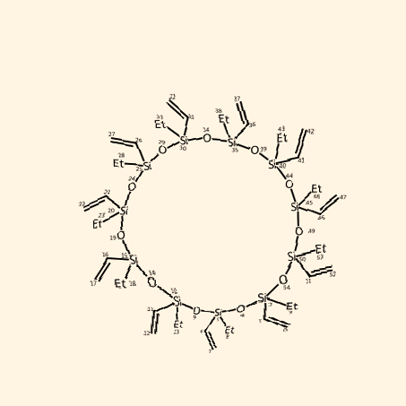 C=C[Si]1(CC)O[Si](C=C)(CC)O[Si](C=C)(CC)O[Si](C=C)(CC)O[Si](C=C)(CC)O[Si](C=C)(CC)O[Si](C=C)(CC)O[Si](C=C)(CC)O[Si](C=C)(CC)O[Si](C=C)(CC)O[Si](C=C)(CC)O1